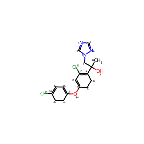 CC(O)(Cn1cncn1)C1=C(Cl)C=C(OC2=CC=C(Cl)CC2)CC1